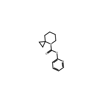 O=C(Oc1ccccn1)N1CCCCC12CC2